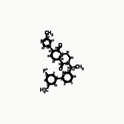 Cc1cc(F)cc(-c2cccc([C@H](C)N3CCn4c(ccc(-n5cnc(C)c5)c4=O)C3=O)n2)c1